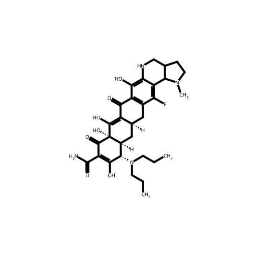 CCCN(CCC)[C@@H]1C(O)=C(C(N)=O)C(=O)[C@@]2(O)C(O)=C3C(=O)c4c(O)c5c(c(F)c4C[C@H]3C[C@@H]12)C1C(CCN1C)CN5